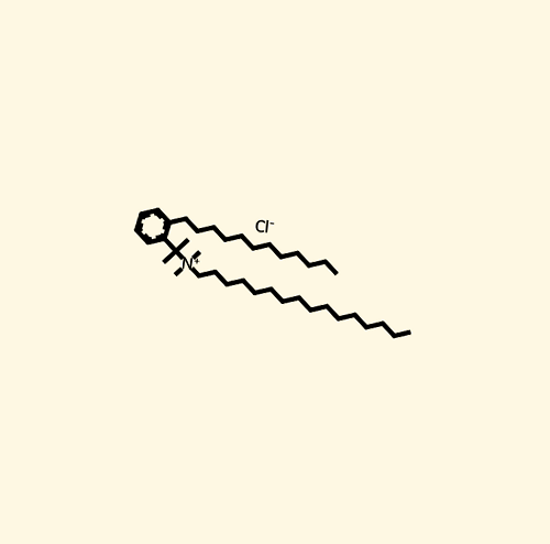 CCCCCCCCCCCCCCCC[N+](C)(C)C(C)(C)c1ccccc1CCCCCCCCCCCC.[Cl-]